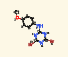 CCOc1ccc(Nc2nc(Br)nc(Br)n2)cc1